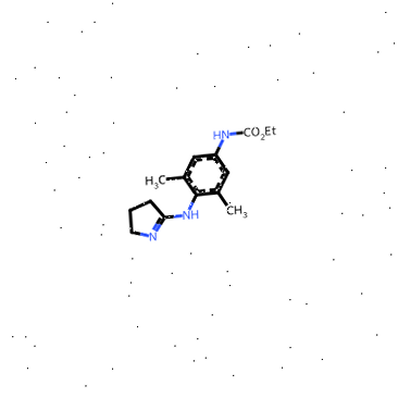 CCOC(=O)Nc1cc(C)c(NC2=NCCC2)c(C)c1